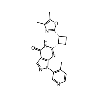 Cc1ccncc1-n1ncc2c(=O)[nH]c([C@H]3CC[C@H]3c3nc(C)c(C)o3)nc21